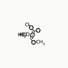 Cc1cccc(CN2CCN(C(c3ccccc3)c3ccc(Cl)cc3)CC2)c1.Cl.Cl.O